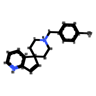 CC(C)c1ccc(CN2CCC3(C=Cc4ncccc43)CC2)cc1